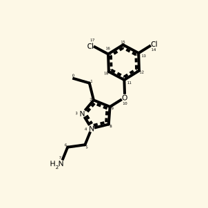 CCc1nn(CCN)cc1Oc1cc(Cl)cc(Cl)c1